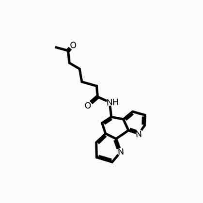 CC(=O)CCCCC(=O)Nc1cc2cccnc2c2ncccc12